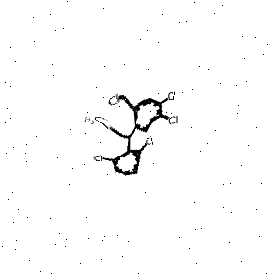 C[C](c1cc(Cl)c(Cl)cc1Cl)c1c(Cl)cccc1Cl